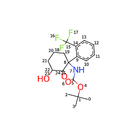 CC(C)(C)OC(=O)NC1(c2ccccc2C(F)(F)F)CCCC(O)C1=O